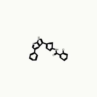 O=C(Nc1ccc(-c2c[nH]c3ncc(-c4ccccc4)cc23)cc1)c1ccccc1Cl